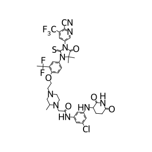 CC1CN(CCOc2ccc(N3C(=S)N(c4cnc(C#N)c(C(F)(F)F)c4)C(=O)C3(C)C)cc2C(C)(F)F)CCN1CC(=O)Nc1cc(Cl)cc(NC2CCC(=O)NC2=O)c1